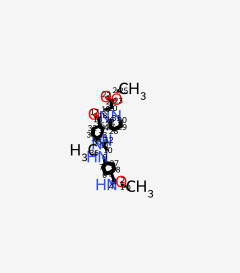 CCOC(=N)c1ccc(NCC2=NC3C=C(C(=O)N(CCC(=O)OCC)c4ccccn4)C=CC3N2C)cc1